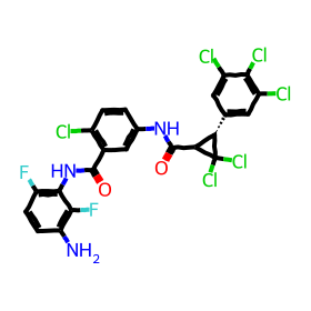 Nc1ccc(F)c(NC(=O)c2cc(NC(=O)C3[C@H](c4cc(Cl)c(Cl)c(Cl)c4)C3(Cl)Cl)ccc2Cl)c1F